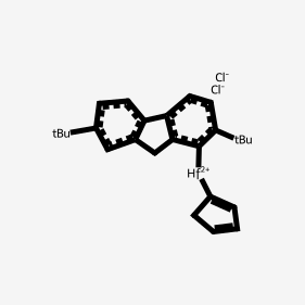 CC(C)(C)c1ccc2c(c1)Cc1c-2ccc(C(C)(C)C)[c]1[Hf+2][C]1=CC=CC1.[Cl-].[Cl-]